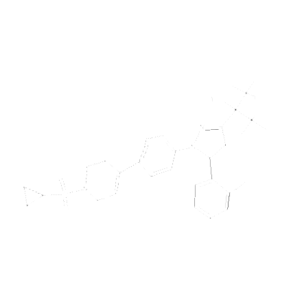 O=S(=O)(C1CC1)N1CC=C(c2ccc(N3N=C(C(O)(C(F)(F)F)C(F)(F)F)CC3c3ccccc3Cl)cc2)CC1